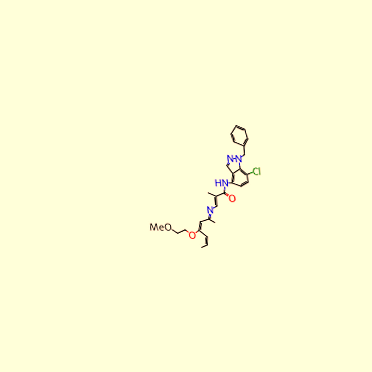 C\C=C/C(=C\C(C)=N\C=C(/C)C(=O)Nc1ccc(Cl)c2c1cnn2Cc1ccccc1)OCCOC